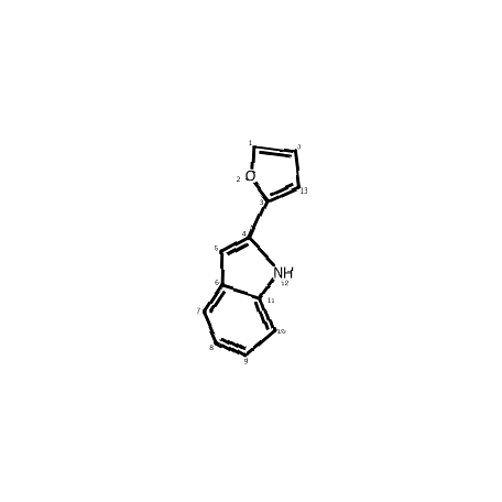 c1coc(-c2cc3ccccc3[nH]2)c1